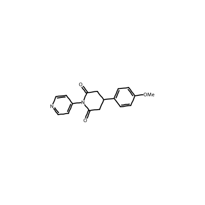 COc1ccc(C2CC(=O)N(c3ccncc3)C(=O)C2)cc1